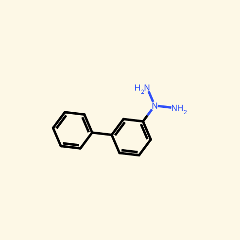 NN(N)c1cccc(-c2ccccc2)c1